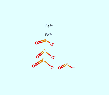 O=P[O-].O=P[O-].O=P[O-].O=P[O-].[Fe+2].[Fe+2]